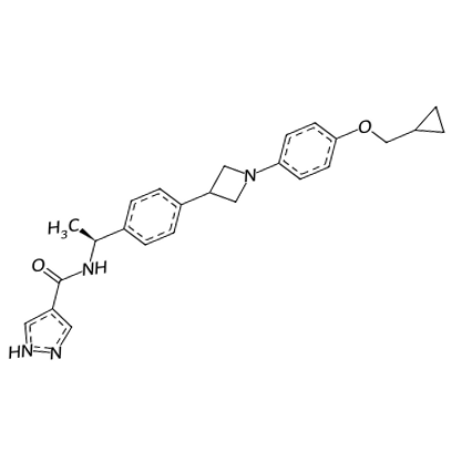 C[C@H](NC(=O)c1cn[nH]c1)c1ccc(C2CN(c3ccc(OCC4CC4)cc3)C2)cc1